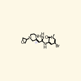 Cn1cc(Br)cc(NC(=N)/C=C2/CN(C3COC3)CCN2)c1=O